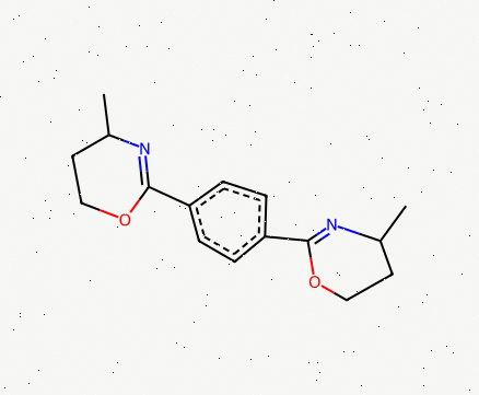 CC1CCOC(c2ccc(C3=NC(C)CCO3)cc2)=N1